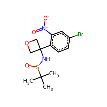 CC(C)(C)[S+]([O-])NC1(c2ccc(Br)cc2[N+](=O)[O-])COC1